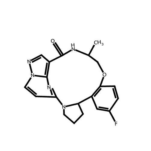 CC1COc2ccc(F)cc2C2CCCN2c2ccn3ncc(c3n2)C(=O)N1